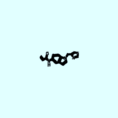 C=CC(=O)Nc1ccc2c(ccn2Cc2cscn2)c1